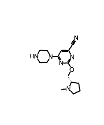 CN1CCC[C@H]1COc1nc(C#N)cc(N2CCNCC2)n1